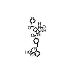 O=C1NC(=O)C2(CN(C(=O)c3ccncc3)CC2NC(=O)c2ccc(CN3CCS(O)(O)c4ccccc43)cc2)N1